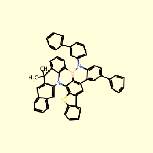 CC1(C)c2cc3ccccc3cc2N2c3c(cccc31)B1c3c(cc4c(sc5ccccc54)c32)-c2cc(-c3ccccc3)ccc2N1c1cccc(-c2ccccc2)c1